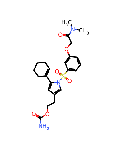 CN(C)C(=O)COc1cccc(S(=O)(=O)n2cc(CCOC(N)=O)cc2C2=CCCCC2)c1